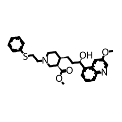 COC(=O)[C@H]1CN(CCSc2ccccc2)CC[C@H]1CC[C@H](O)c1cccc2ncc(OC)cc12